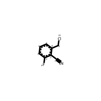 N#Cc1c(F)cccc1CCl